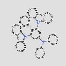 c1ccc(-c2c(-n3c4ccccc4c4ccccc43)cc(N(c3ccccc3)c3ccccc3)cc2-n2c3ccccc3c3ccccc32)cc1